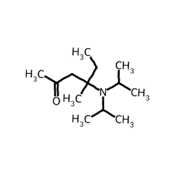 CCC(C)(CC(C)=O)N(C(C)C)C(C)C